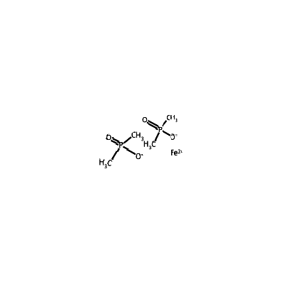 CP(C)(=O)[O-].CP(C)(=O)[O-].[Fe+2]